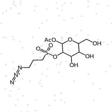 CC(=O)OC1OC(CO)C(O)C(O)C1OS(=O)(=O)CCCN=[N+]=[N-]